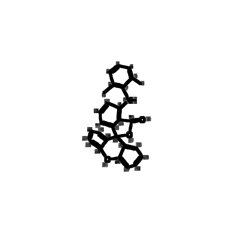 Cc1cccc(C)c1Nc1cccc2c1C(=O)OC21c2ccccc2Oc2ccccc21